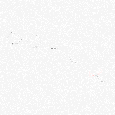 C=CC(=O)OCCCCCCCCSc1ccc(-c2ccccc2)cc1